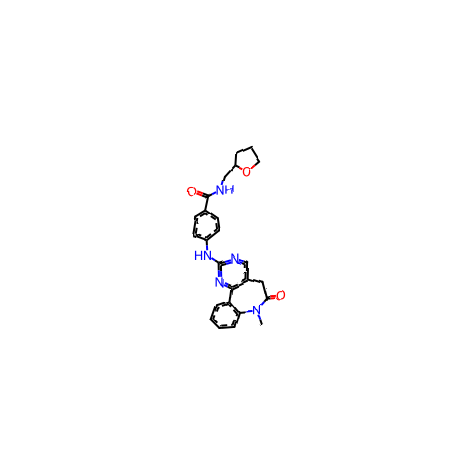 CN1C(=O)Cc2cnc(Nc3ccc(C(=O)NCC4CCCO4)cc3)nc2-c2ccccc21